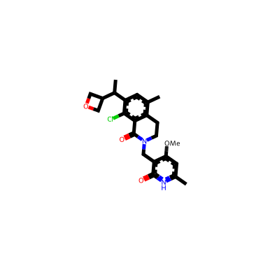 COc1cc(C)[nH]c(=O)c1CN1CCc2c(C)cc(C(C)C3COC3)c(Cl)c2C1=O